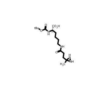 CC1(CCC(=O)NCCCC[C@H](NC(=O)OC(C)(C)C)C(=O)O)NN1